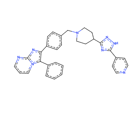 c1ccc(-c2c(-c3ccc(CN4CCC(c5n[nH]c(-c6ccncc6)n5)CC4)cc3)nc3ncccn23)cc1